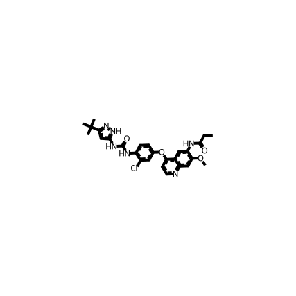 CCC(=O)Nc1cc2c(Oc3ccc(NC(=O)Nc4cc(C(C)(C)C)n[nH]4)c(Cl)c3)ccnc2cc1OC